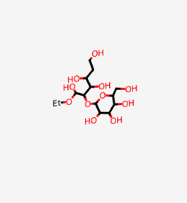 CCOC(O)C(OC1OC(CO)C(O)C(O)C1O)C(O)C(O)CCO